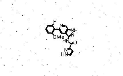 COc1cccc(F)c1-c1cc2c(NC(=O)c3cc[nH]n3)n[nH]c2cn1